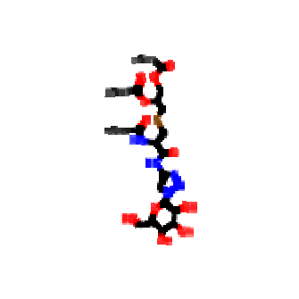 CCCCCCCCCC(=O)NC(CSCC(COC(=O)CCCCCCCCC)OC(=O)CCCCCCCCC)C(=O)Nc1cn(C2OC(CO)C(O)C(O)C2O)nn1